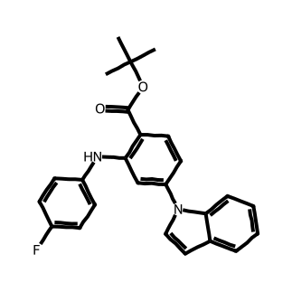 CC(C)(C)OC(=O)c1ccc(-n2ccc3ccccc32)cc1Nc1ccc(F)cc1